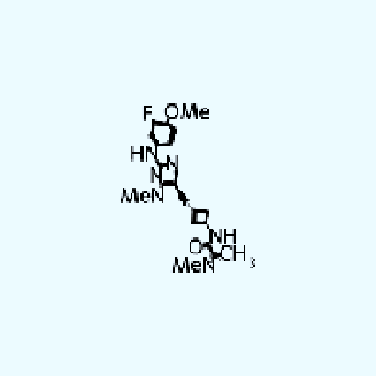 CNc1nc(Nc2ccc(OC)c(F)c2)ncc1C#C[C@H]1C[C@@H](NC(=O)[C@H](C)NC)C1